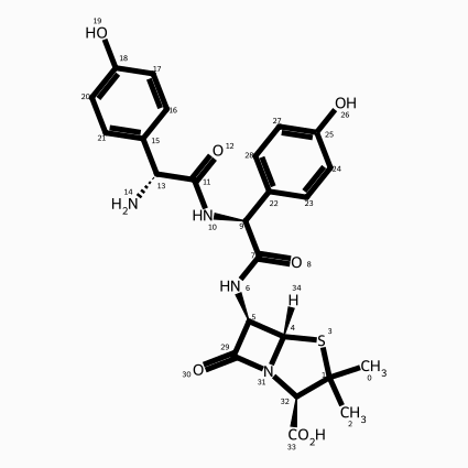 CC1(C)S[C@H]2[C@H](NC(=O)[C@@H](NC(=O)[C@H](N)c3ccc(O)cc3)c3ccc(O)cc3)C(=O)N2[C@@H]1C(=O)O